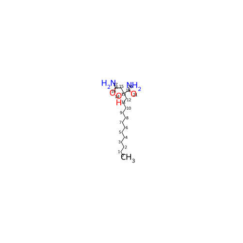 CCCCCCCCCCCCCC(O)(CC(N)=O)C(N)=O